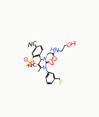 CC1=C(C#N)[C@@H](c2ccc(C#N)cc2S(C)(=O)=O)N(CC(=O)NCCO)C(=O)N1c1cccc(CF)c1